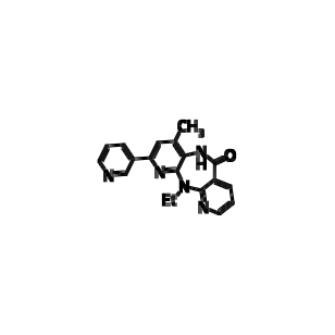 CCN1c2ncccc2C(=O)Nc2c(C)cc(-c3cccnc3)nc21